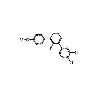 COc1ccc(C2=C(I)C(c3ccc(Cl)c(Cl)c3)=CC[CH]2)cc1